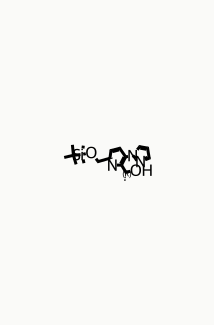 C[C@@H](O)c1nc(CO[Si](C)(C)C(C)(C)C)ccc1-n1cccn1